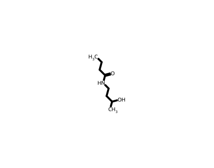 CCCC(=O)NCCC(C)O